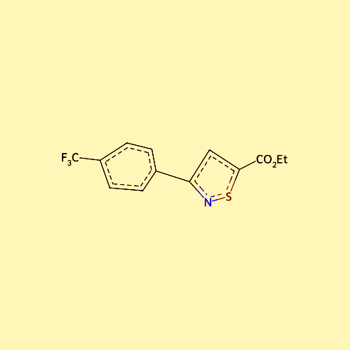 CCOC(=O)c1cc(-c2ccc(C(F)(F)F)cc2)ns1